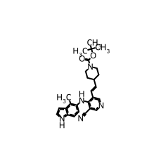 Cc1c(Nc2c(C#N)cncc2/C=C/C2CCN(C(=O)OC(C)(C)C)CC2)ccc2[nH]ccc12